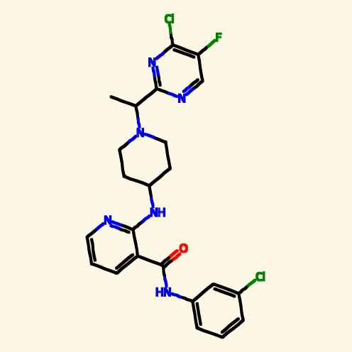 CC(c1ncc(F)c(Cl)n1)N1CCC(Nc2ncccc2C(=O)Nc2cccc(Cl)c2)CC1